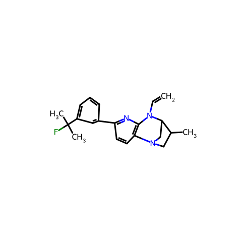 C=CN1c2nc(-c3cccc(C(C)(C)F)c3)ccc2N2CC(C)C1C2